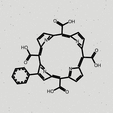 O=C(O)C1=C2C=CC(=N2)C(C(=O)O)=C2C=C(c3ccccc3)C(=N2)C(C(=O)O)=C2C=CC(=N2)C(C(=O)O)=C2C=CC1=N2